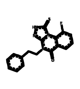 O=c1c2cccc(F)c2n2c(=S)[nH]nc2n1CCc1ccccc1